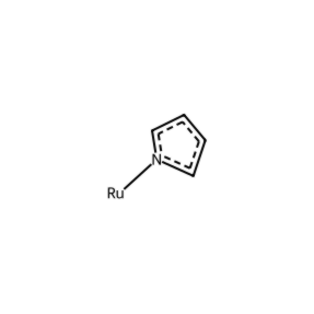 [Ru][n]1cccc1